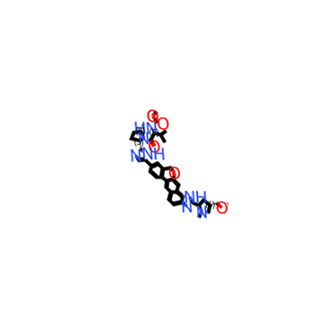 COC[C@H]1CC(c2nc3ccc4cc5c(cc4c3[nH]2)OCc2cc(-c3cnc([C@@H]4CC[C@H](C)N4C(=O)[C@@H](NC(=O)OC)C(C)C)[nH]3)ccc2-5)N(C)C1